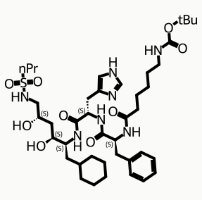 CCCS(=O)(=O)NC[C@@H](O)C[C@H](O)[C@H](CC1CCCCC1)NC(=O)[C@H](Cc1c[nH]cn1)NC(=O)[C@H](Cc1ccccc1)NC(=O)CCCCCNC(=O)OC(C)(C)C